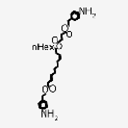 CCCCCC[C@H](C/C=C\CCCCCCCC(=O)OCCc1ccc(N)cc1)OC(=O)CCC(=O)OCCc1ccc(N)cc1